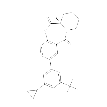 O=C1Nc2ccc(-c3cc(C4CC4)cc(C(F)(F)F)c3)cc2C(=O)N2CCNC[C@@H]12